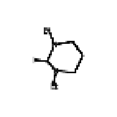 CCN1CCCN(CC)C1I